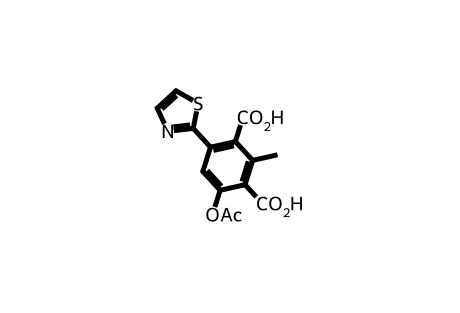 CC(=O)Oc1cc(-c2nccs2)c(C(=O)O)c(C)c1C(=O)O